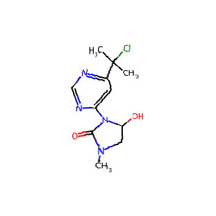 CN1CC(O)N(c2cc(C(C)(C)Cl)ncn2)C1=O